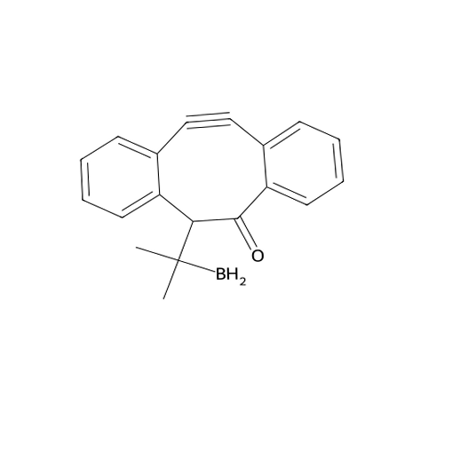 BC(C)(C)C1C(=O)c2ccccc2C#Cc2ccccc21